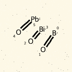 [B]=O.[O]=[Bi].[O]=[Pb]